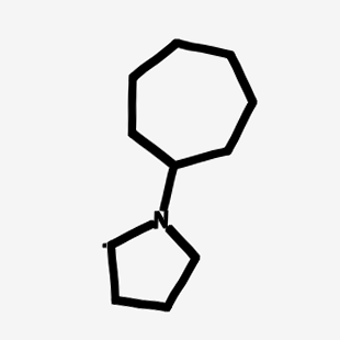 [CH]1CCCN1C1CCCCCC1